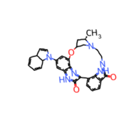 C[C@@H]1CC2CN1CCn1[nH]c3c(cccc3c1=O)-c1nc3c(cc(N4C=CC5C=CC=CC54)cc3[nH]c1=O)O2